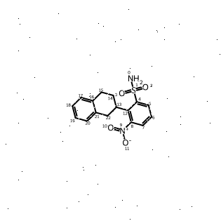 NS(=O)(=O)c1cccc([N+](=O)[O-])c1C1CCc2ccccc2C1